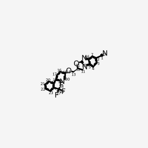 N#Cc1ccc2c(c1)nc1n2C[C@@H](COc2ccc(-c3ccccc3C(F)(F)F)nc2)O1